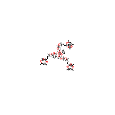 C[SiH2]O[Si](O[SiH2]O[SiH2]O[Si](C)(C)CC[SiH]1O[SiH](C)CC(C)O[SiH](C)O1)(O[Si](C)(C)O[Si](C)(C)O[Si](C)(C)CC[SiH]1OC(C)C[SiH](C)O[SiH](C)O1)O[Si](C)(C)O[Si](C)(C)O[Si](C)(C)CC[SiH]1OC(C)C[SiH](C)O[SiH](C)O1